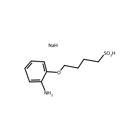 Nc1ccccc1OCCCCS(=O)(=O)O.[NaH]